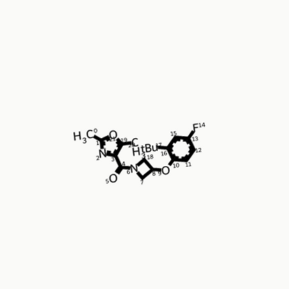 Cc1nc(C(=O)N2CC(Oc3ccc(F)cc3C(C)(C)C)C2)c(C)o1